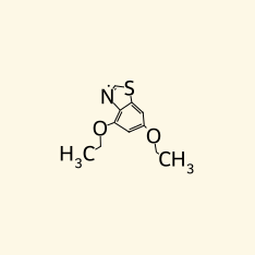 CCOc1cc(OCC)c2n[c]sc2c1